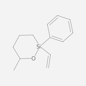 C=C[Si]1(c2ccccc2)CCCC(C)O1